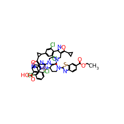 CCOC(=O)c1ccc2nc(N3CCC(NCc4c(-c5c(Cl)cccc5Cl)noc4C4CC4c4cc(Cl)c(-c5noc(C6CC6)c5CN5CCN(c6nc7ccc(C(=O)O)cc7s6)CC5)c(Cl)c4)CC3)sc2c1